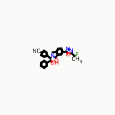 CC(F)c1nnc(-c2ccc3c(c2)C(=O)N([C@H](c2ccc(C#N)cc2)C(O)c2ccccc2)C3)o1